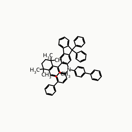 Cc1ccc2c(c1-c1cc3c(cc1N(c1ccc(-c4ccccc4)cc1)c1ccc(-c4ccccc4)cc1)C(c1ccccc1)(c1ccccc1)c1ccccc1-3)C(C)(C)CCC2(C)C